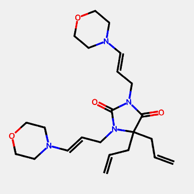 C=CCC1(CC=C)C(=O)N(CC=CN2CCOCC2)C(=O)N1CC=CN1CCOCC1